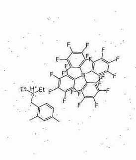 CC[NH+](CC)Cc1ccc(C)cc1C.Fc1c(F)c(F)c([B-](c2c(F)c(F)c(F)c(F)c2F)(c2c(F)c(F)c(F)c(F)c2F)c2c(F)c(F)c(F)c(F)c2F)c(F)c1F